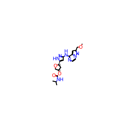 COCc1cc2c(Nc3cc([C@H]4C[C@@H](OC(=O)NC(C)C)CO4)[nH]n3)nccn2n1